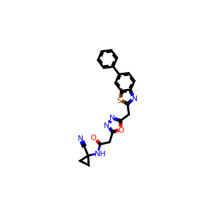 N#CC1(NC(=O)Cc2nnc(Cc3nc4ccc(-c5ccccc5)cc4s3)o2)CC1